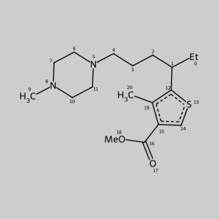 CCC(CCCN1CCN(C)CC1)c1scc(C(=O)OC)c1C